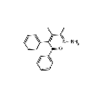 CC(=NN)C(C)=C(C(=O)c1ccccc1)c1ccccc1